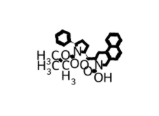 CC(C)(C)OC(=O)N1[C@@H](C(=O)C2Cc3c(ccc4ccccc34)CN2C(=O)O)CC[C@H]1c1ccccc1